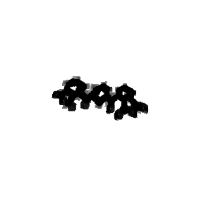 O=C1OC(=O)c2c1cccc2C(=O)c1cccc(C(=O)c2cccc3c2C(=O)OC3=O)c1